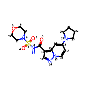 O=C(NS(=O)(=O)N1CCOCC1)c1cnn2ccc(N3CCCC3)cc12